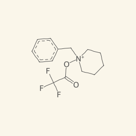 O=C(O[N+]1(Cc2ccccc2)CCCCC1)C(F)(F)F